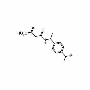 C=C(CC(=O)NC(C)c1ccc(C(F)F)cc1)C(=O)O